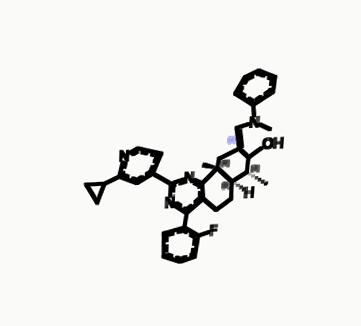 C[C@H]1C(O)/C(=C\N(C)c2ccccc2)C[C@@]2(C)c3nc(-c4ccnc(C5CC5)c4)nc(-c4ccccc4F)c3CC[C@H]12